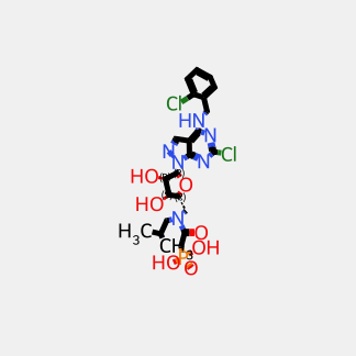 CC(C)CN(C[C@H]1O[C@@H](n2ncc3c(NCc4ccccc4Cl)nc(Cl)nc32)[C@H](O)[C@@H]1O)C(=O)CP(=O)(O)O